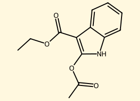 CCOC(=O)c1c(OC(C)=O)[nH]c2ccccc12